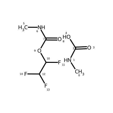 CNC(=O)O.CNC(=O)OC(F)C(F)F